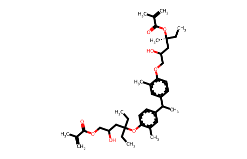 C=C(C)C(=O)OCC(O)CC(CC)(CC)Oc1ccc(C(C)c2ccc(OCC(O)C[C@](C)(CC)OC(=O)C(=C)C)c(C)c2)cc1C